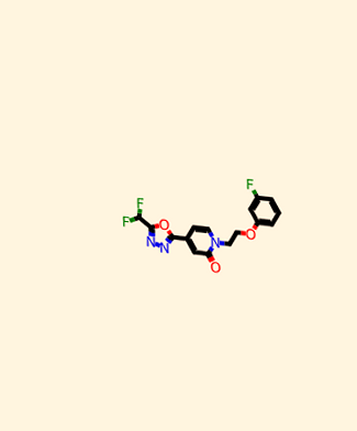 O=c1cc(-c2nnc(C(F)F)o2)ccn1CCOc1cccc(F)c1